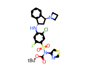 CC(C)(C)OC(=O)N(c1cscn1)S(=O)(=O)c1cc(Cl)c(N[C@H]2C[C@H](N3CCC3)c3ccccc32)cc1F